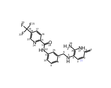 C=C/C=C\C(NCc1cccc(NC(=O)c2ccc(C(F)(F)F)cn2)c1)=C(N)N